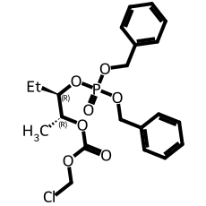 CC[C@@H](OP(=O)(OCc1ccccc1)OCc1ccccc1)[C@@H](C)OC(=O)OCCl